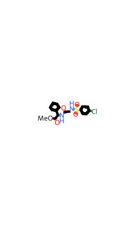 COC(=O)C(NC(=O)CNS(=O)(=O)c1ccc(Cl)cc1)c1ccccc1